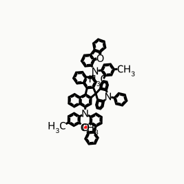 Cc1ccc(N(c2cc3c(c4ccccc24)-c2c(cc(N(c4ccc(C)cc4C)c4cccc5c4oc4ccccc45)c4ccccc24)C32c3ccccc3N(c3ccccc3)c3ccccc32)c2cccc3c2oc2ccccc23)c(C)c1